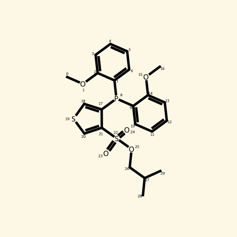 COc1ccccc1P(c1ccccc1OC)c1cscc1S(=O)(=O)OCC(C)C